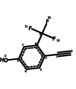 C#Cc1ccc(O)cc1C(F)(F)F